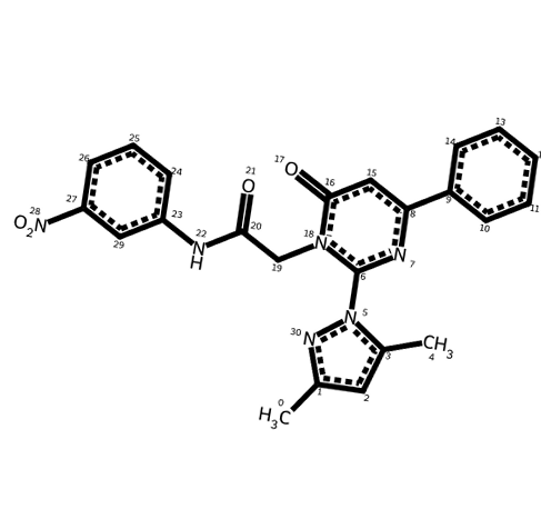 Cc1cc(C)n(-c2nc(-c3ccccc3)cc(=O)n2CC(=O)Nc2cccc([N+](=O)[O-])c2)n1